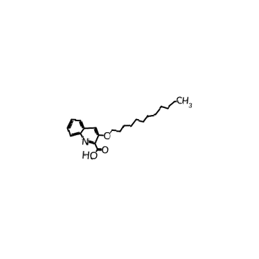 CCCCCCCCCCCCOc1cc2ccccc2nc1C(=O)O